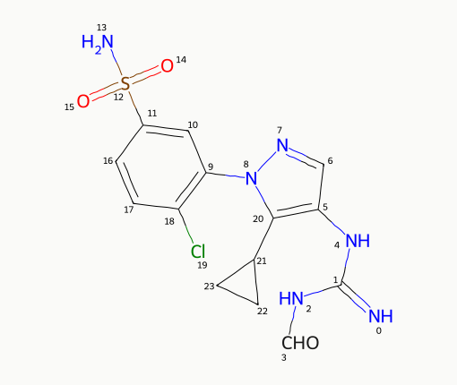 N=C(NC=O)Nc1cnn(-c2cc(S(N)(=O)=O)ccc2Cl)c1C1CC1